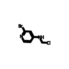 ClCNc1ccnc(Br)c1